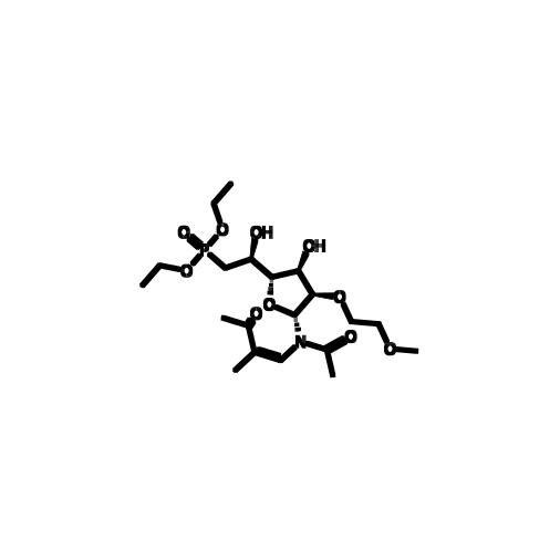 CCOP(=O)(C[C@@H](O)[C@H]1O[C@@H](N(/C=C(/C)C(C)=O)C(C)=O)[C@H](OCCOC)[C@@H]1O)OCC